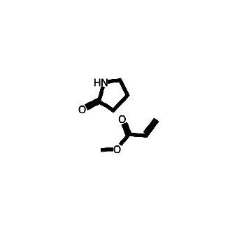 C=CC(=O)OC.O=C1CCCN1